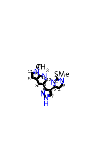 CSc1nccc(-c2c[nH]nc2-c2cnc3c(ccn3C)c2)n1